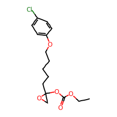 CCOC(=O)OC1(CCCCCOc2ccc(Cl)cc2)CO1